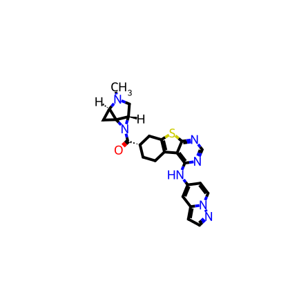 CN1C[C@@H]2N(C(=O)[C@H]3CCc4c(sc5ncnc(Nc6ccn7nccc7c6)c45)C3)C23C[C@@H]13